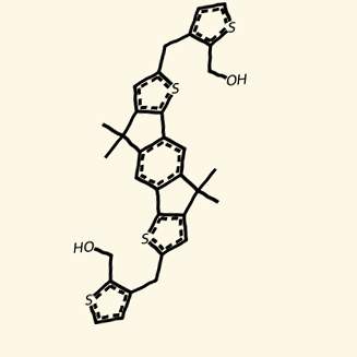 CC1(C)c2cc3c(cc2-c2sc(Cc4ccsc4CO)cc21)C(C)(C)c1cc(Cc2ccsc2CO)sc1-3